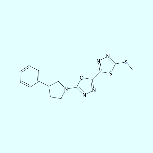 CSc1nnc(-c2nnc(N3CCC(c4ccccc4)C3)o2)s1